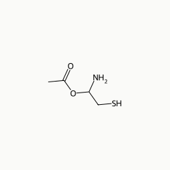 CC(=O)OC(N)CS